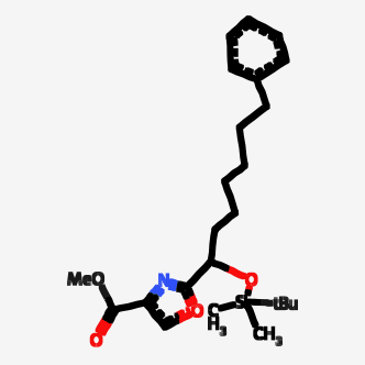 COC(=O)c1coc(C(CCCCCCc2ccccc2)O[Si](C)(C)C(C)(C)C)n1